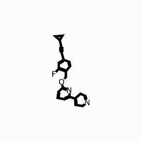 Fc1cc(C#CC2CC2)ccc1COc1cccc(C2=CCN=CC2)n1